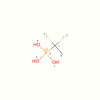 CC(F)(F)[PH](O)(O)O